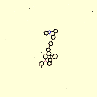 C=C/C=C(\C=C/CC)P(C1=CC2=C(CC=C1)c1ccc(-c3ccc(-c4ccc5c6ccccc6c6nc7ccccc7n6c5c4)cc3)cc1CC2(C1=CCC=CC=C1)c1ccccc1)c1ccccc1